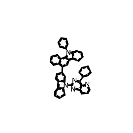 c1ccc(-c2nc(-n3c4ccccc4c4ccc(-c5cc6c7ccccc7n(-c7ccccc7)c6c6ccccc56)cc43)nc3cccnc23)cc1